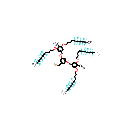 Cc1c(OCCCCC(F)(F)C(F)(F)C(F)(F)C(F)(F)C(F)(F)C(F)(F)F)cc(COc2cc(CBr)cc(OCc3cc(OCCCCC(F)(F)C(F)(F)C(F)(F)C(F)(F)C(F)(F)C(F)(F)F)c(C)c(OCCCCC(F)(F)C(F)(F)C(F)(F)C(F)(F)C(F)(F)C(F)(F)F)c3)c2)cc1OCCCCC(F)(F)C(F)(F)C(F)(F)C(F)(F)C(F)(F)C(F)(F)F